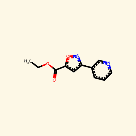 CCOC(=O)c1cc(-c2cccnc2)no1